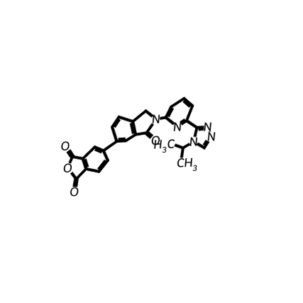 CC(C)n1cnnc1-c1cccc(N2Cc3ccc(-c4ccc5c(c4)C(=O)OC5=O)cc3C2=O)n1